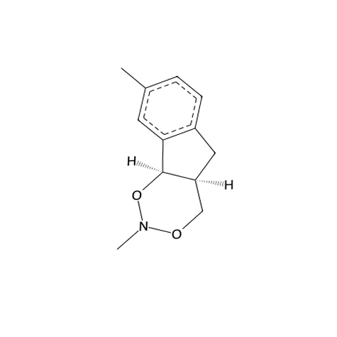 Cc1ccc2c(c1)[C@@H]1ON(C)OC[C@@H]1C2